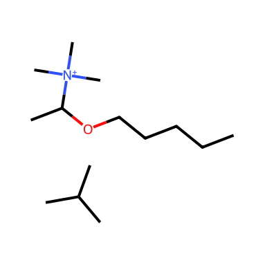 CC(C)C.CCCCCOC(C)[N+](C)(C)C